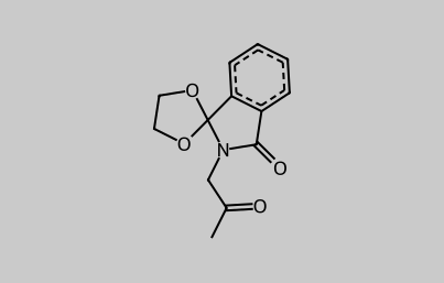 CC(=O)CN1C(=O)c2ccccc2C12OCCO2